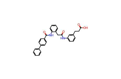 O=C(O)CCc1cccc(NC(=O)Cc2ccccc2NC(=O)c2ccc(-c3ccccc3)cc2)c1